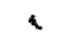 c1ccc(-c2cc3ccc(-c4cccc5c4oc4ccc6c(-c7ccccc7)nc7ccccc7c6c45)cc3cn2)cc1